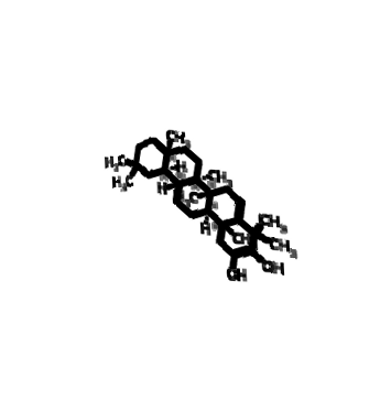 CC1(C)CC[C@]2(C)CC[C@]3(C)[C@H](CC[C@@H]4[C@@]5(C)CC(O)=C(O)C(C)(C)C5=CC[C@]43C)[C@H]2C1